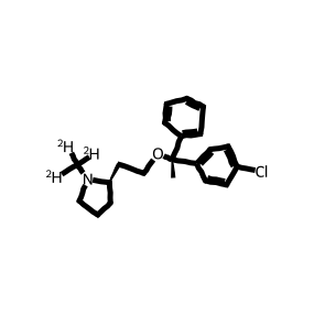 [2H]C([2H])([2H])N1CCC[C@@H]1CCO[C@](C)(c1ccccc1)c1ccc(Cl)cc1